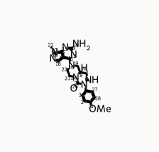 COc1ccc(N2NC[C@@H]3CN(c4nc(N)nc5c4cnn5C)CCN3C2=O)cc1